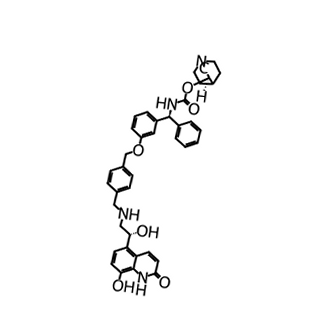 O=C(N[C@@H](c1ccccc1)c1cccc(OCc2ccc(CNC[C@H](O)c3ccc(O)c4[nH]c(=O)ccc34)cc2)c1)O[C@H]1CN2CCC1CC2